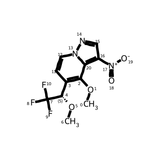 COc1c([C@H](OC)C(F)(F)F)ccn2ncc([N+](=O)[O-])c12